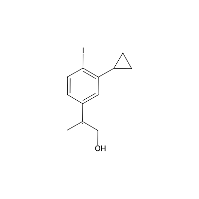 C[C](CO)c1ccc(I)c(C2CC2)c1